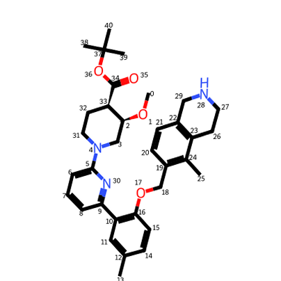 CO[C@H]1CN(c2cccc(-c3cc(C)ccc3OCc3ccc4c(c3C)CCNC4)n2)CC[C@H]1C(=O)OC(C)(C)C